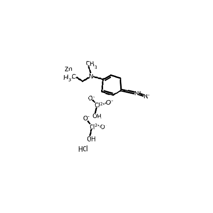 CCN(C)C1=CCC(=[N+]=[N-])C=C1.Cl.[O-][Cl+2]([O-])O.[O-][Cl+2]([O-])O.[Zn]